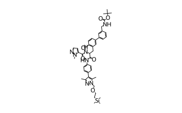 Cc1nn(COCC[Si](C)(C)C)c(C)c1-c1ccc(NC(=O)C(Cc2cc(-c3cccc(CNC(=O)OC(C)(C)C)c3)ccc2Cl)NC(=O)c2ccnn2C)cc1